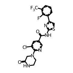 O=C1CN(c2ncc(C(=O)Nc3nc(-c4cccc(C(F)(F)F)c4F)cs3)cc2Cl)CCN1